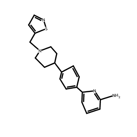 Nc1cccc(-c2ccc(C3CCN(Cc4ccns4)CC3)cc2)n1